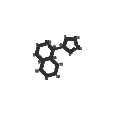 [c]1nscc1-c1nccc2ccccc12